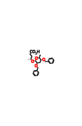 C[C@H](CCC(=O)O)O[C@@H]1O[C@@H](C)[C@H](OCc2ccccc2)C[C@H]1OCc1ccccc1